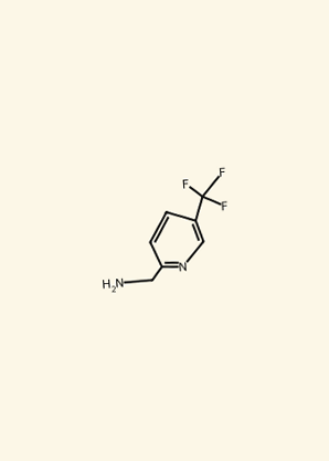 NCc1ccc(C(F)(F)F)cn1